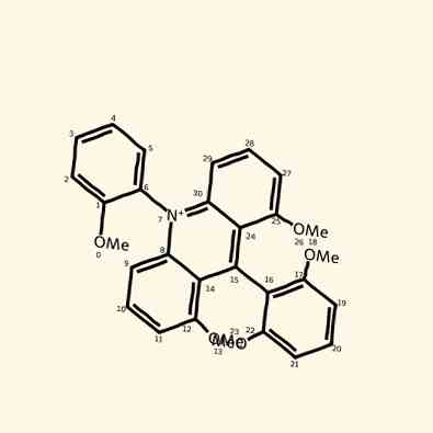 COc1ccccc1-[n+]1c2cccc(OC)c2c(-c2c(OC)cccc2OC)c2c(OC)cccc21